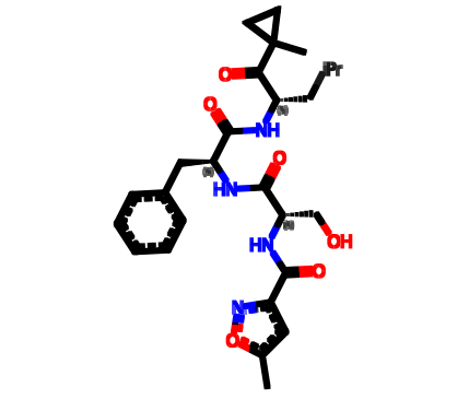 Cc1cc(C(=O)N[C@@H](CO)C(=O)N[C@@H](Cc2ccccc2)C(=O)N[C@@H](CC(C)C)C(=O)C2(C)CC2)no1